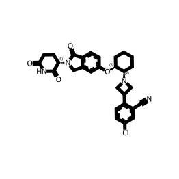 N#Cc1cc(Cl)ccc1C1CN([C@@H]2CCCC[C@@H]2Oc2ccc3c(c2)CN([C@H]2CCC(=O)NC2=O)C3=O)C1